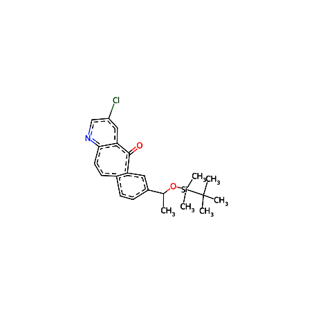 CC(O[Si](C)(C)C(C)(C)C)c1ccc2ccc3ncc(Cl)cc3c(=O)c2c1